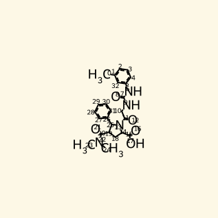 Cc1cccc(NC(=O)NCC(=O)N2C(C(=O)O)CC(C(=O)N(C)C)C2c2ccccc2)c1